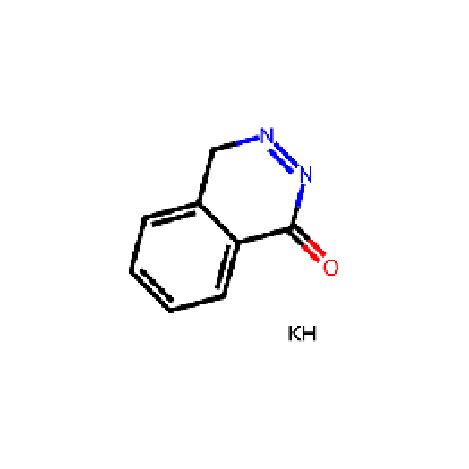 O=C1N=NCc2ccccc21.[KH]